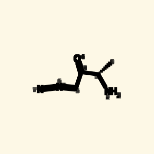 C[C@H](N)C(=O)C=[N+]=[N-]